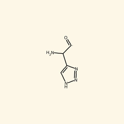 NC([C]=O)c1c[nH]nn1